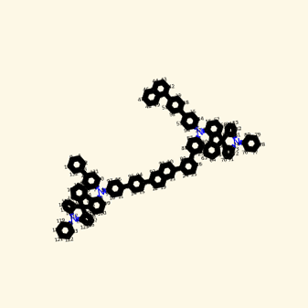 c1ccc(-c2ccc(N(c3ccc(-c4ccc(-c5ccc6cc(-c7cccc(-c8ccc(N(c9ccc(-c%10ccc(-c%11cccc%12ccccc%11%12)cc%10)cc9)c9cccc%10c9-c9ccccc9C%109c%10ccccc%10N(c%10ccccc%10)c%10ccccc%109)cc8)c7)ccc6c5)cc4)cc3)c3cccc4c3-c3ccccc3C43c4ccccc4N(c4ccccc4)c4ccccc43)cc2)cc1